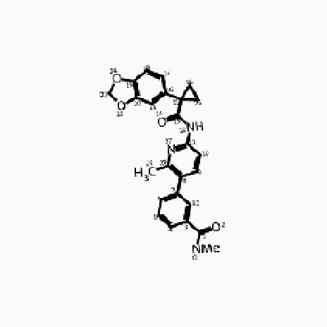 CNC(=O)c1cccc(-c2ccc(NC(=O)C3(c4ccc5c(c4)OCO5)CC3)nc2C)c1